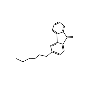 C=C1c2ccccc2-c2cc(CCCCCC)ccc21